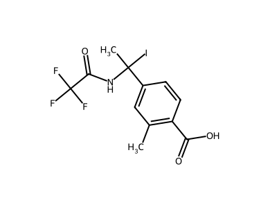 Cc1cc(C(C)(I)NC(=O)C(F)(F)F)ccc1C(=O)O